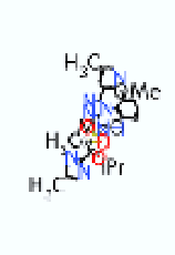 COc1cccc(OC)c1-n1c(NS(=O)(=O)[C@@H](C)[C@@H](OC(C)C)c2ncc(C)cn2)nnc1-c1cncc(C)c1